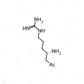 CC(=O)C[C@@H](N)CCCNC(=N)N